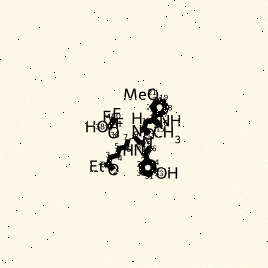 CCC(=O)CCCCC[C@H](NC(=O)Cc1c(C)[nH]c2ccc(OC)cc12)c1ncc(-c2cccc(O)c2)[nH]1.O=C(O)C(F)(F)F